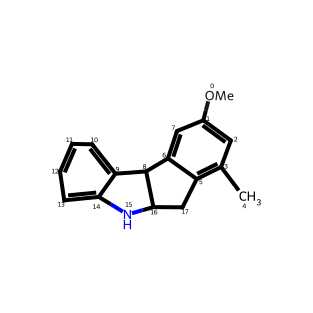 COc1cc(C)c2c(c1)C1c3ccccc3NC1C2